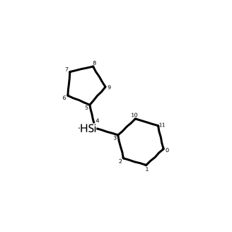 C1CCC([SiH]C2CCCC2)CC1